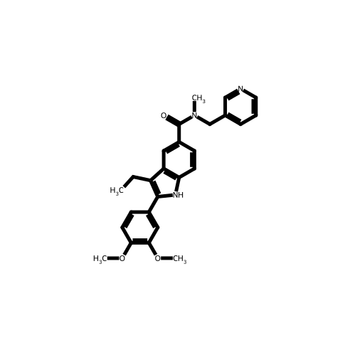 CCc1c(-c2ccc(OC)c(OC)c2)[nH]c2ccc(C(=O)N(C)Cc3cccnc3)cc12